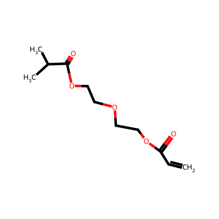 C=CC(=O)OCCOCCOC(=O)C(C)C